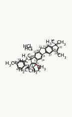 Cl.Cl.[CH2]=[Zr]([CH3])([C]1=CC=CC1)([C]1=C(C)c2cc3c(cc2C1(C)C)Cc1cc2c(cc1-3)C(C)=CC2(C)C)[c]1ccc(C)cc1